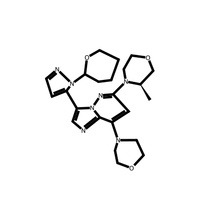 C[C@@H]1COCCN1c1cc(N2CCOCC2)c2ncc(-c3ccnn3C3CCCCO3)n2n1